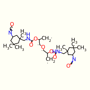 [CH2]C([CH]O[CH]C([CH2])OC(=O)NCC1(C)CC(N=C=O)CC(C)(C)C1)OC(=O)NCC1(C)CC(N=C=O)CC(C)(C)C1